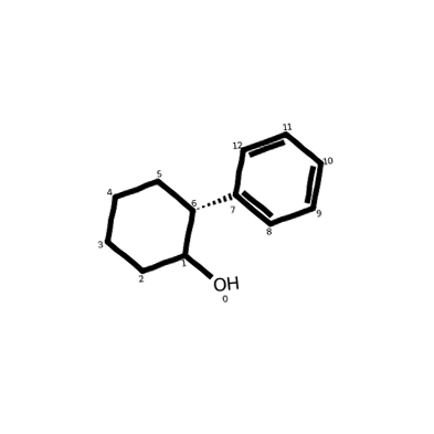 OC1CCCC[C@@H]1c1ccccc1